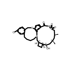 C[C@@H]1C[C@H](C)CS(=O)(=O)NC(=O)c2ccc3c(c2)N(CCCCc2cc(Cl)ccc2CO3)C[C@@H]2CC[C@H]2[C@H](O)C1